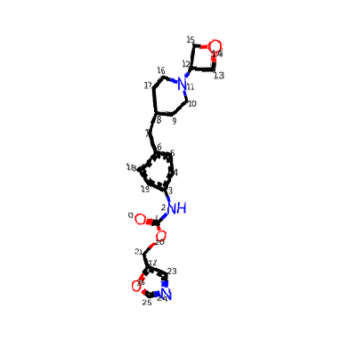 O=C(Nc1ccc(CC2CCN(C3COC3)CC2)cc1)OCc1cnco1